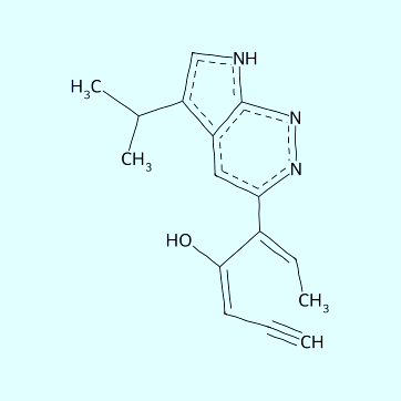 C#C/C=C(O)\C(=C/C)c1cc2c(C(C)C)c[nH]c2nn1